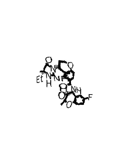 CC[C@]1(C)CC(=O)N([C@@H]2CCOc3ccc(C(=O)N[C@@H]4c5cc(F)ccc5OC5(C)O[C@@H]45)cc32)C(=N)N1